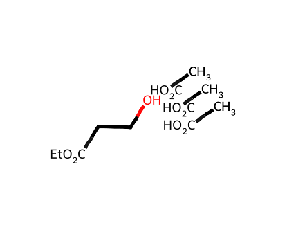 CC(=O)O.CC(=O)O.CC(=O)O.CCOC(=O)CCO